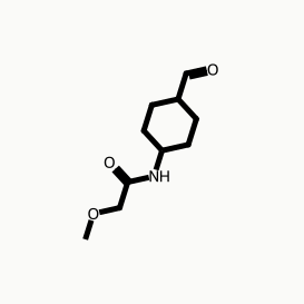 COCC(=O)NC1CCC(C=O)CC1